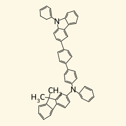 CC1(C)c2ccccc2-c2ccc(N(c3ccccc3)c3ccc(-c4ccc(-c5ccc6c(c5)c5ccccc5n6C5=CC=CCC5)cc4)cc3)cc21